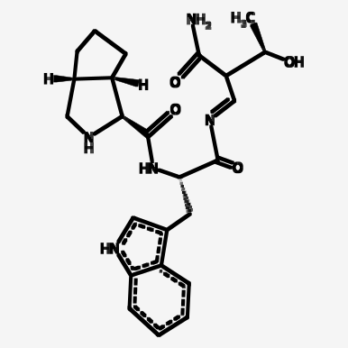 C[C@@H](O)C(/C=N/C(=O)[C@H](Cc1c[nH]c2ccccc12)NC(=O)[C@H]1NC[C@@H]2CCC[C@@H]21)C(N)=O